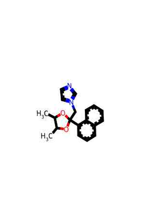 CC1OC(Cn2ccnc2)(c2cccc3ccccc23)OC1C